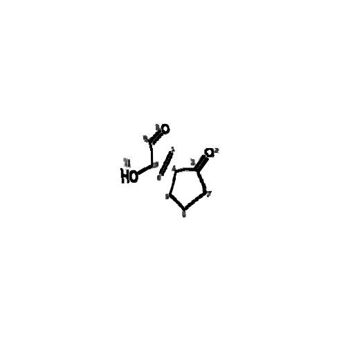 C=C.O=C1CCCC1.O=CCO